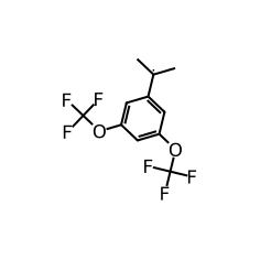 C[C](C)c1cc(OC(F)(F)F)cc(OC(F)(F)F)c1